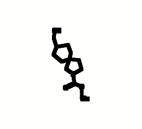 CC(C)(C)OC(=O)N1CCC2(CCC(CO)CC2)C1